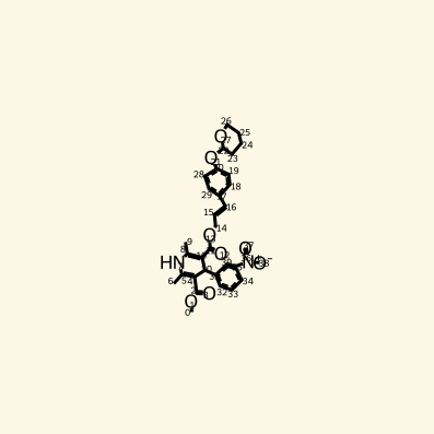 COC(=O)C1=C(C)NC(C)=C(C(=O)OC/C=C/c2ccc(OC3CCCCO3)cc2)C1c1cccc([N+](=O)[O-])c1